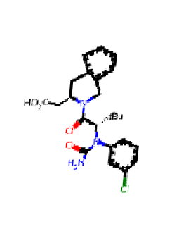 CC(C)(C)[C@@H](C(=O)N1Cc2ccccc2C[C@@H]1CC(=O)O)N(C(N)=O)c1cccc(Cl)c1